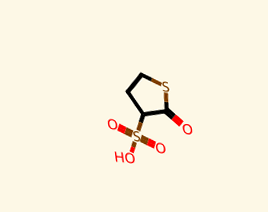 O=C1SCCC1S(=O)(=O)O